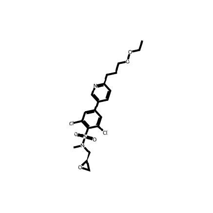 CCOOCCCc1ccc(-c2cc(Cl)c(S(=O)(=O)N(C)C[C@H]3CO3)c(Cl)c2)cn1